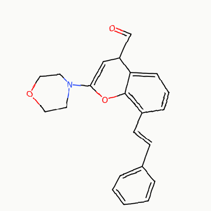 O=CC1C=C(N2CCOCC2)Oc2c(C=Cc3ccccc3)cccc21